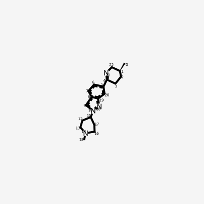 C[C@H]1CCC(c2ccc3cn(C4CCN(C)CC4)nc3c2)=NC1